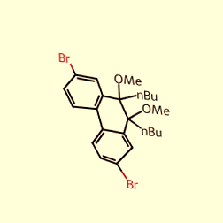 CCCCC1(OC)c2cc(Br)ccc2-c2ccc(Br)cc2C1(CCCC)OC